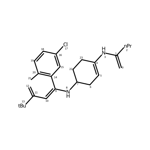 C=C(CCC)NC1=CCC(N/C(=C/C(=C)C(C)(C)C)c2cc(Cl)ccc2C)CC1